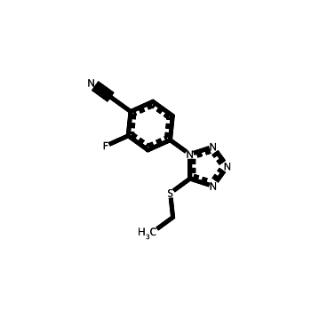 CCSc1nnnn1-c1ccc(C#N)c(F)c1